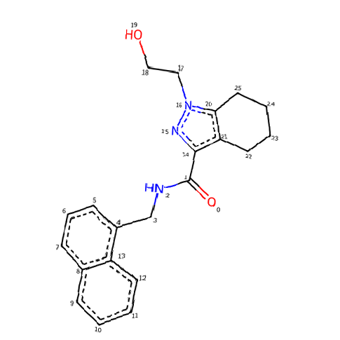 O=C(NCc1cccc2ccccc12)c1nn(CCO)c2c1CCCC2